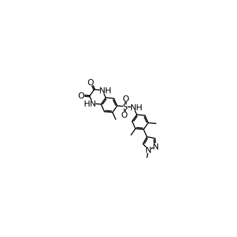 Cc1cc2[nH]c(=O)c(=O)[nH]c2cc1S(=O)(=O)Nc1cc(C)c(-c2cnn(C)c2)c(C)c1